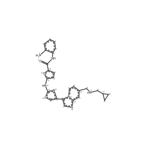 Nc1ccccc1NC(=O)c1ccc(Nc2nc(-c3cnc4cc(CNCC5CC5)ccn34)cs2)s1